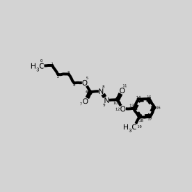 CCCCCOC(=O)/N=N/C(=O)Oc1ccccc1C